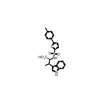 Cc1ccc(-c2ccc(S(=O)(=O)N[C@H](C(=O)O)C(C)c3c[nH]c4ccccc34)s2)cc1